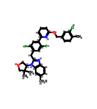 Cc1ccc(COc2cccc(-c3cc(F)c(Cc4nc5ccc(C(=O)O)cc5n4[C@@H]4COCC4(C)C)cc3F)n2)cc1Cl